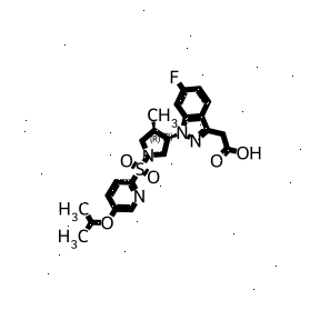 CC(C)Oc1ccc(S(=O)(=O)N2C[C@@H](C)[C@@H](n3nc(CC(=O)O)c4ccc(F)cc43)C2)nc1